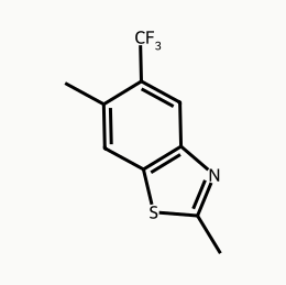 Cc1nc2cc(C(F)(F)F)c(C)cc2s1